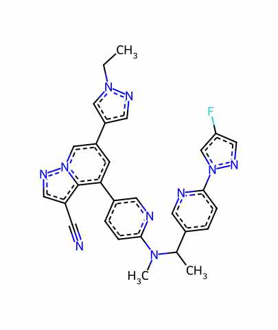 CCn1cc(-c2cc(-c3ccc(N(C)C(C)c4ccc(-n5cc(F)cn5)nc4)nc3)c3c(C#N)cnn3c2)cn1